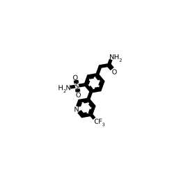 NC(=O)Cc1ccc(-c2cncc(C(F)(F)F)c2)c(S(N)(=O)=O)c1